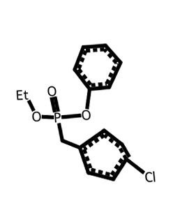 CCOP(=O)(Cc1ccc(Cl)cc1)Oc1ccccc1